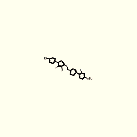 CCCCc1ccc(-c2ccc(COc3ccc(-c4ccc(CC)cc4)c(F)c3F)cc2)c(F)c1